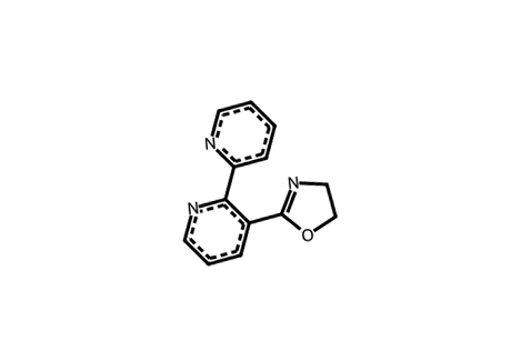 c1ccc(-c2ncccc2C2=NCCO2)nc1